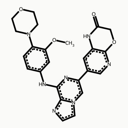 COc1cc(Nc2nc(-c3cnc4c(c3)NC(=O)CO4)cn3ccnc23)ccc1N1CCOCC1